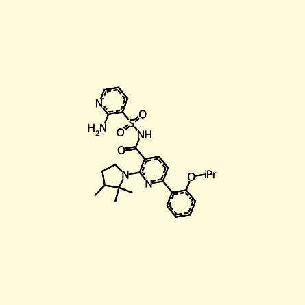 CC(C)Oc1ccccc1-c1ccc(C(=O)NS(=O)(=O)c2cccnc2N)c(N2CCC(C)C2(C)C)n1